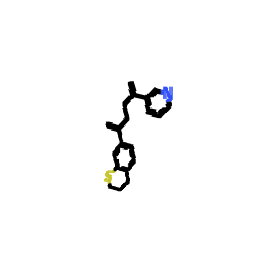 C=C(CCC(=C)c1ccc2c(c1)SCCC2)c1cccnc1